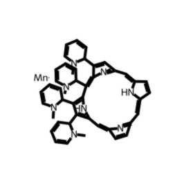 CN1C=CC=CC1C1=Cc2cc3ccc(cc4nc(cc5[nH]c(c(C6C=CC=CN6C)c1n2)c(C1C=CC=CN1C)c5C1C=CC=CN1C)C=C4)[nH]3.[Mn]